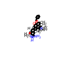 CC(C)[Si](C(C)C)(C(C)C)n1ccc(C2=C3[C@@H]4CC(C)(C)CC[C@]4(C(=O)OCc4ccccc4)CC[C@@]3(C)[C@]3(C)CC[C@H]4C(C)(C)c5n[nH]c(N)c5C[C@]4(C)C3C2)c1